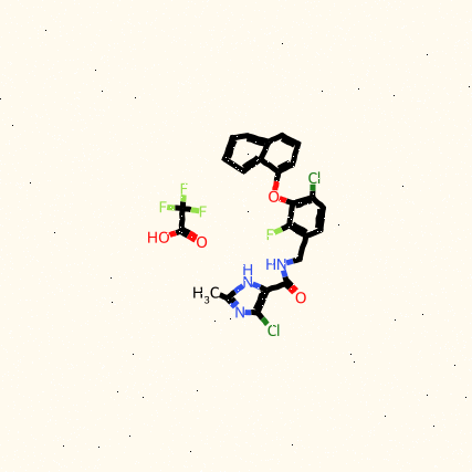 Cc1nc(Cl)c(C(=O)NCc2ccc(Cl)c(Oc3cccc4ccccc34)c2F)[nH]1.O=C(O)C(F)(F)F